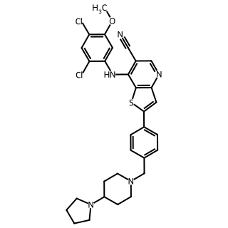 COc1cc(Nc2c(C#N)cnc3cc(-c4ccc(CN5CCC(N6CCCC6)CC5)cc4)sc23)c(Cl)cc1Cl